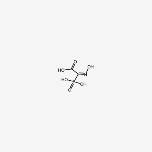 O=C(O)/C(=N\O)P(=O)(O)O